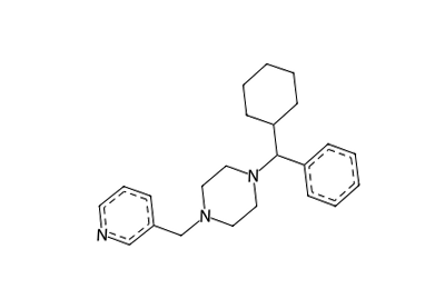 c1ccc(C(C2CCCCC2)N2CCN(Cc3cccnc3)CC2)cc1